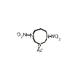 CC(=O)N1CN([N+](=O)[O-])CCCN([N+](=O)[O-])C1